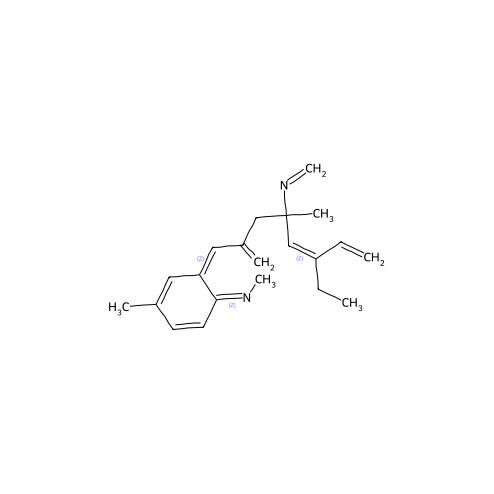 C=C/C(=C\C(C)(CC(=C)/C=C1/C=C(C)C=C/C1=N/C)N=C)CC